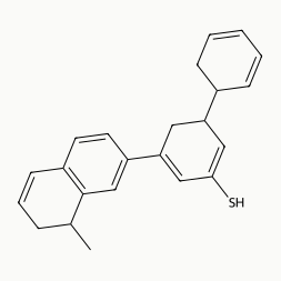 CC1CC=Cc2ccc(C3=CC(S)=CC(C4C=CC=CC4)C3)cc21